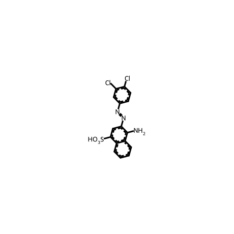 Nc1c(/N=N/c2ccc(Cl)c(Cl)c2)cc(S(=O)(=O)O)c2ccccc12